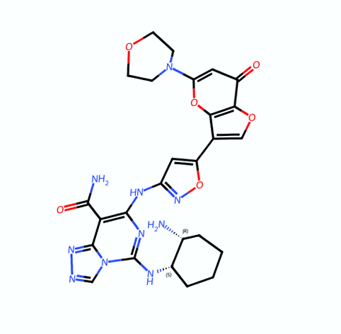 NC(=O)c1c(Nc2cc(-c3coc4c(=O)cc(N5CCOCC5)oc34)on2)nc(N[C@H]2CCCC[C@H]2N)n2cnnc12